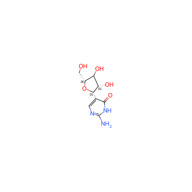 Nc1ncc([C@@H]2O[C@H](CO)C(O)[C@@H]2O)c(=O)[nH]1